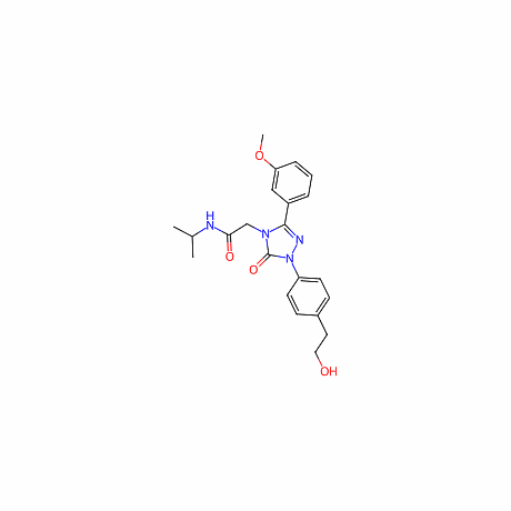 COc1cccc(-c2nn(-c3ccc(CCO)cc3)c(=O)n2CC(=O)NC(C)C)c1